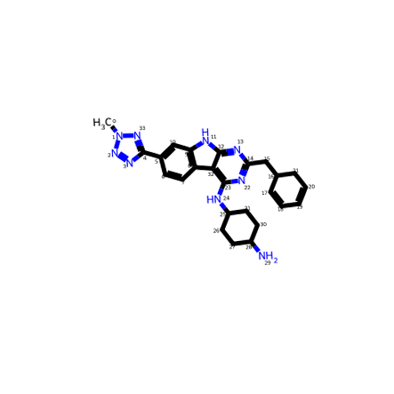 Cn1nnc(-c2ccc3c(c2)[nH]c2nc(CC4C=CC=CC4)nc(NC4CCC(N)CC4)c23)n1